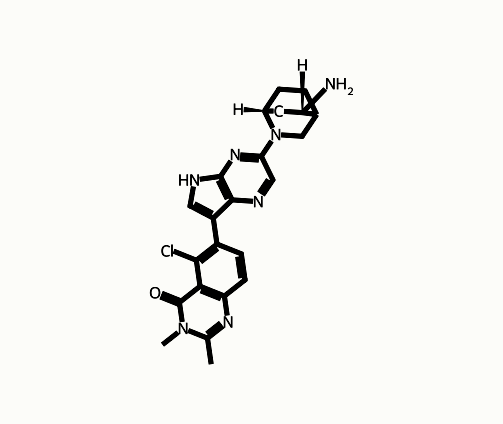 Cc1nc2ccc(-c3c[nH]c4nc(N5CC6CC[C@@H]5C[C@@H]6N)cnc34)c(Cl)c2c(=O)n1C